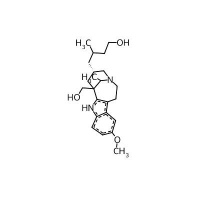 COc1ccc2[nH]c3c(c2c1)CCN1C[C@@H](CC(C)CCO)CC3(CO)C1C